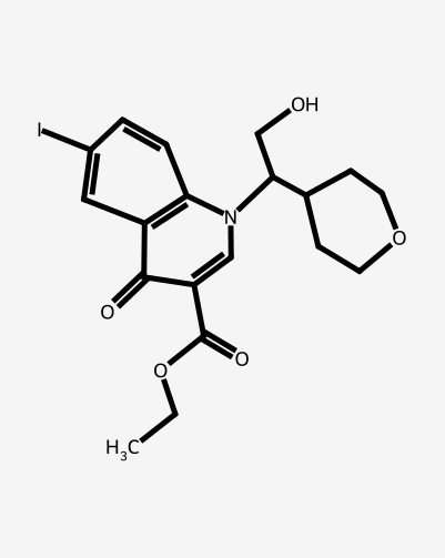 CCOC(=O)c1cn(C(CO)C2CCOCC2)c2ccc(I)cc2c1=O